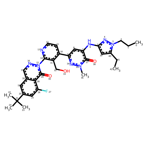 CCCn1nc(Nc2cc(-c3ccnc(-n4ncc5cc(C(C)(C)C)cc(F)c5c4=O)c3CO)nn(C)c2=O)cc1CC